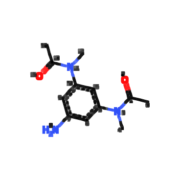 CC(=O)N(C)c1cc(N)cc(N(C)C(C)=O)c1